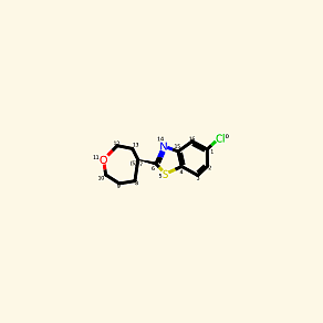 Clc1ccc2sc([C@H]3CCCOCC3)nc2c1